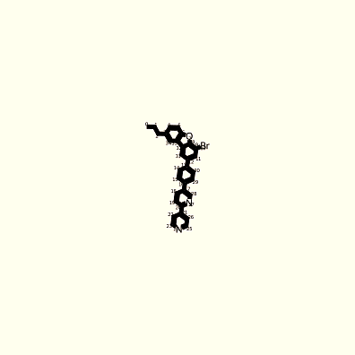 CCCc1ccc2oc3c(Br)cc(-c4ccc(-c5ccc(-c6ccncc6)nc5)cc4)cc3c2c1